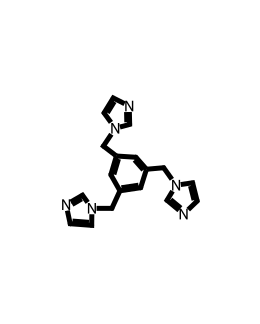 c1cn(Cc2cc(Cn3ccnc3)cc(Cn3ccnc3)c2)cn1